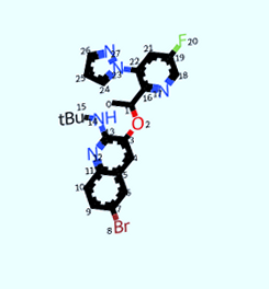 CC(Oc1cc2cc(Br)ccc2nc1NC(C)(C)C)c1ncc(F)cc1-n1cccn1